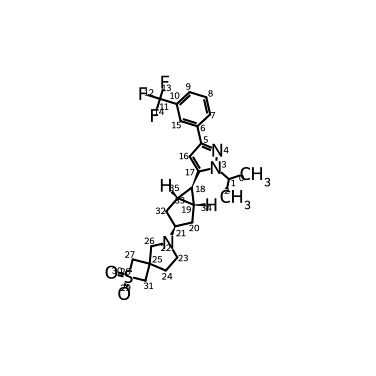 CC(C)n1nc(-c2cccc(C(F)(F)F)c2)cc1[C@H]1[C@@H]2C[C@@H](N3CCC4(C3)CS(=O)(=O)C4)C[C@@H]21